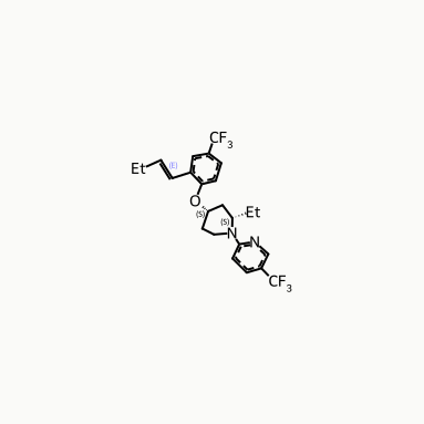 CC/C=C/c1cc(C(F)(F)F)ccc1O[C@H]1CCN(c2ccc(C(F)(F)F)cn2)[C@@H](CC)C1